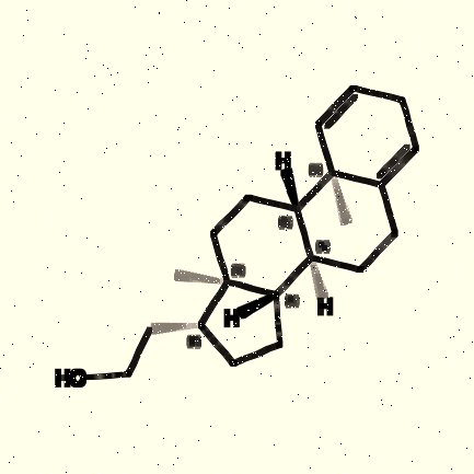 C[C@]12CC[C@H]3[C@@H](CCC4=CCC=C[C@@]43C)[C@@H]1CC[C@@H]2CCO